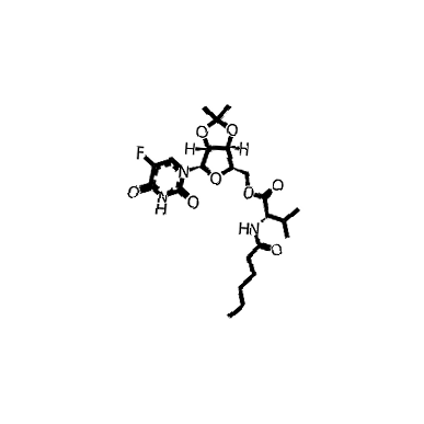 CCCCCC(=O)N[C@H](C(=O)OC[C@H]1O[C@@H](n2cc(F)c(=O)[nH]c2=O)[C@@H]2OC(C)(C)O[C@@H]21)C(C)C